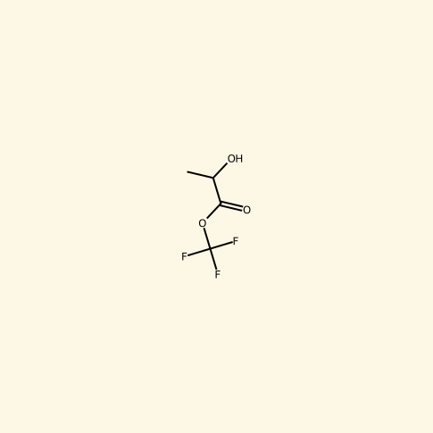 CC(O)C(=O)OC(F)(F)F